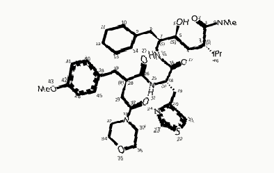 CNC(=O)[C@@H](C[C@H](O)[C@H](CC1CCCCC1)NC(=O)[C@H](Cc1cscn1)NC(=O)[C@@H](CC(=O)N1CCOCC1)Cc1ccc(OC)cc1)C(C)C